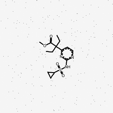 CCC(CC)(C(=O)OC)c1ccnc(NS(=O)(=O)C2CC2)n1